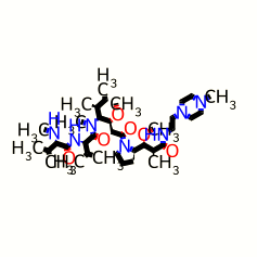 CC[C@H](C)[C@@H]([C@H](CC(=O)N1CCC[C@H]1[C@H](OC)[C@@H](C)C(=O)NCCN1CCN(C)CC1)OC)N(C)C(=O)[C@@H](NC(=O)[C@@H](NC)C(C)C)C(C)C